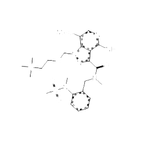 COc1cnc(N)c2c(C(=O)N(C)Cc3ccccc3N(C)S(C)(=O)=O)nn(COCC[Si](C)(C)C)c12